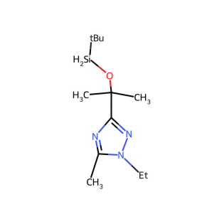 CCn1nc(C(C)(C)O[SiH2]C(C)(C)C)nc1C